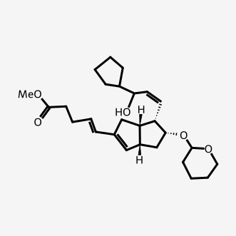 COC(=O)CCC=CC1=C[C@H]2C[C@@H](OC3CCCCO3)[C@@H](/C=C\C(O)C3CCCC3)[C@H]2C1